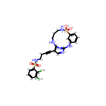 O=S1(=O)NCCCNc2nc(ncc2C#CCCNS(=O)(=O)c2cccc(F)c2F)Nc2cccc1c2